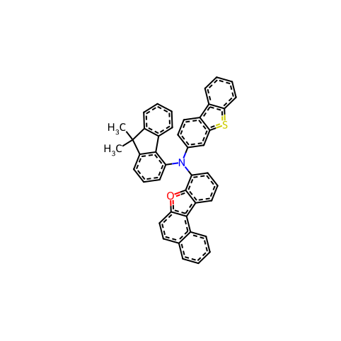 CC1(C)c2ccccc2-c2c(N(c3ccc4c(c3)sc3ccccc34)c3cccc4c3oc3ccc5ccccc5c34)cccc21